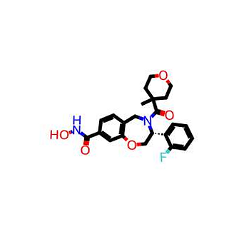 CC1(C(=O)N2Cc3ccc(C(=O)NO)cc3OC[C@H]2c2ccccc2F)CCOCC1